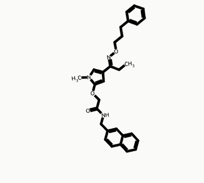 CCC(=NOCCCc1ccccc1)c1cc(OCC(=O)NCc2ccc3ccccc3c2)n(C)c1